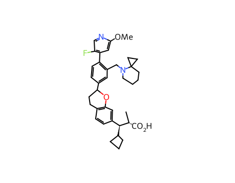 COc1cc(-c2ccc(C3CCc4ccc([C@H](C5CCC5)[C@H](C)C(=O)O)cc4O3)cc2CN2CCCCC23CC3)c(F)cn1